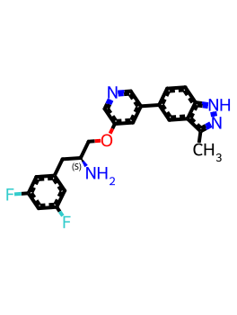 Cc1n[nH]c2ccc(-c3cncc(OC[C@@H](N)Cc4cc(F)cc(F)c4)c3)cc12